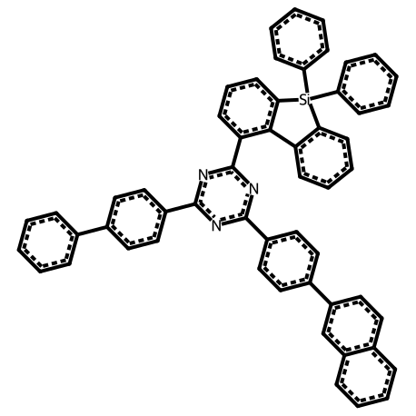 c1ccc(-c2ccc(-c3nc(-c4ccc(-c5ccc6ccccc6c5)cc4)nc(-c4cccc5c4-c4ccccc4[Si]5(c4ccccc4)c4ccccc4)n3)cc2)cc1